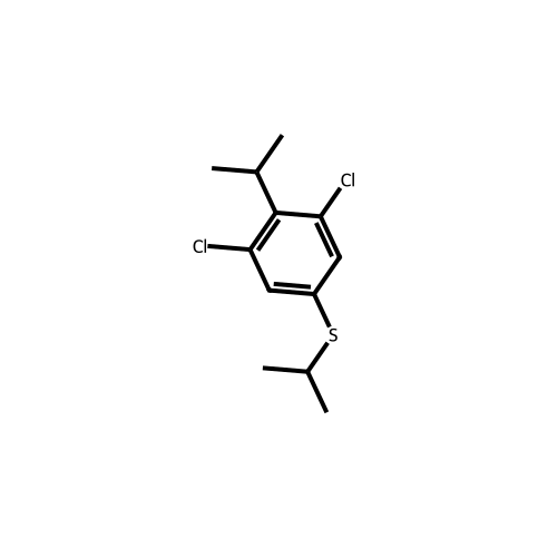 CC(C)Sc1cc(Cl)c(C(C)C)c(Cl)c1